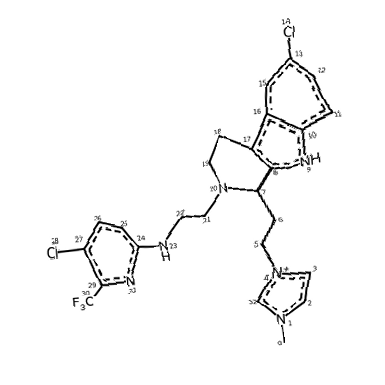 Cn1cc[n+](CCC2c3[nH]c4ccc(Cl)cc4c3CCN2CCNc2ccc(Cl)c(C(F)(F)F)n2)c1